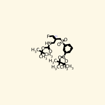 CC(C)(C)OC(=O)NC/C(=C\F)CS(=O)(=O)c1cccc(B2OC(C)(C)C(C)(C)O2)c1